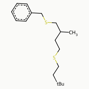 CC(CCSCCC(C)(C)C)CSCc1ccccc1